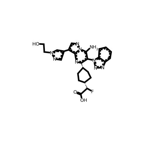 Nc1c(-n2nnc3ccccc32)c([C@H]2CC[C@@H](C(F)C(=O)O)CC2)nc2c(-c3cnn(CCO)c3)cnn12